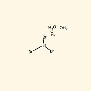 O.O.O.[Br][Ta]([Br])[Br]